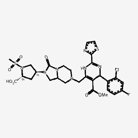 COC(=O)C1=C(CN2CCN3C(=O)N([C@H]4C[C@H](C(=O)O)N(S(C)(=O)=O)C4)CC3C2)NC(c2nccs2)=NC1c1ccc(F)cc1Cl